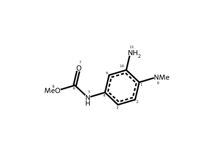 CNc1ccc(NC(=O)OC)cc1N